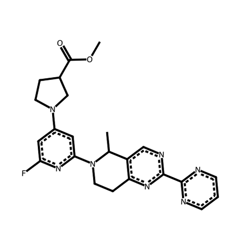 COC(=O)C1CCN(c2cc(F)nc(N3CCc4nc(-c5ncccn5)ncc4C3C)c2)C1